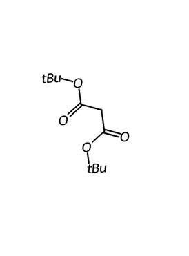 CC(C)(C)OC(=O)CC(=O)OC(C)(C)C